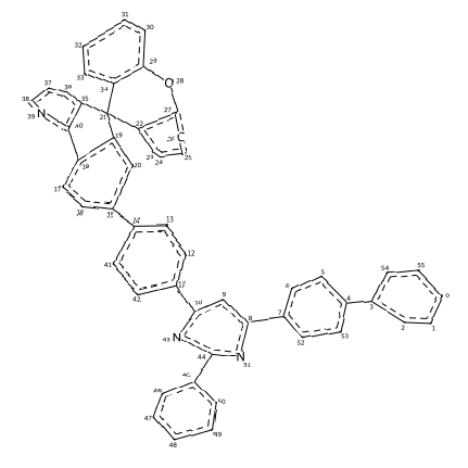 c1ccc(-c2ccc(-c3cc(-c4ccc(-c5ccc6c(c5)C5(c7ccccc7Oc7ccccc75)c5cccnc5-6)cc4)nc(-c4ccccc4)n3)cc2)cc1